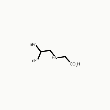 CCCC(CCC)CNCC(=O)O